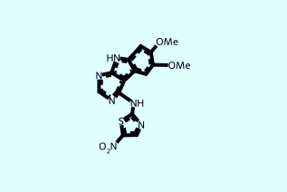 COc1cc2[nH]c3ncnc(Nc4ncc([N+](=O)[O-])s4)c3c2cc1OC